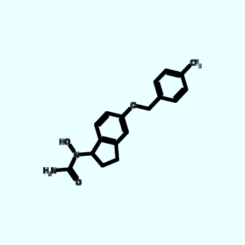 NC(=O)N(O)C1CCc2cc(OCc3ccc(C(F)(F)F)cc3)ccc21